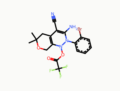 CC1(C)CC2=C(CO1)N(OC(=O)C(F)(F)F)N(c1ccccc1Br)C(N)=C2C#N